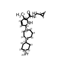 CC1=C(C(=O)NCC2CC2)NC(N2CCCN(C3CCN(C(C)C)CC3)CC2)C=C1